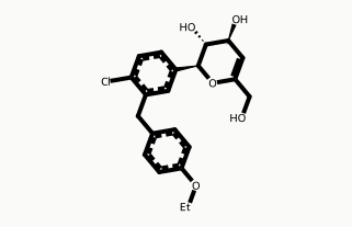 CCOc1ccc(Cc2cc([C@@H]3OC(CO)=C[C@H](O)[C@H]3O)ccc2Cl)cc1